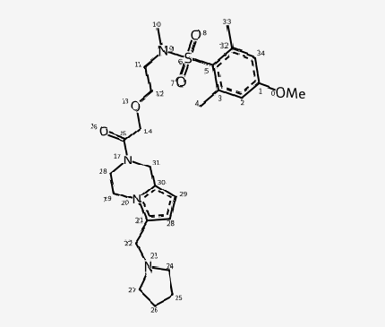 COc1cc(C)c(S(=O)(=O)N(C)CCOCC(=O)N2CCn3c(CN4CCCC4)ccc3C2)c(C)c1